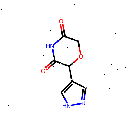 O=C1COC(c2cn[nH]c2)C(=O)N1